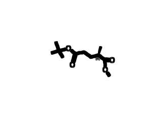 COC(=O)[C@H](C)CCC(=O)OC(C)(C)C